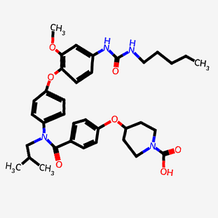 CCCCCNC(=O)Nc1ccc(Oc2ccc(N(CC(C)C)C(=O)c3ccc(OC4CCN(C(=O)O)CC4)cc3)cc2)c(OC)c1